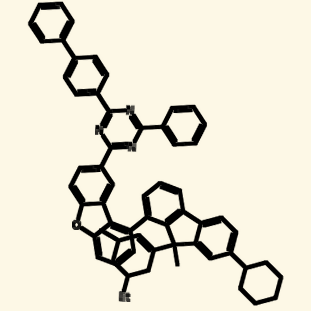 CCC1CC(C2(C)c3cc(C4CCCCC4)ccc3-c3cccc(-c4cccc5oc6ccc(-c7nc(-c8ccccc8)nc(-c8ccc(-c9ccccc9)cc8)n7)cc6c45)c32)=CC(C)C1